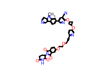 Cn1c2ccncc2c2ccc(-c3cnc(OC4CC(Oc5ccc(C#CCOCCOc6ccc7c(c6)C(=O)N([C@@H]6CCC(=O)NC6=O)C7=O)nc5)C4)c(C#N)c3)cc21